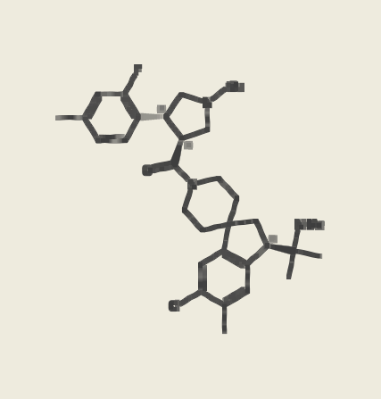 CC(=O)NC(C)(C)[C@@H]1CC2(CCN(C(=O)[C@@H]3CN(C(C)(C)C)C[C@H]3c3ccc(C)cc3F)CC2)c2cc(Cl)c(C)cc21